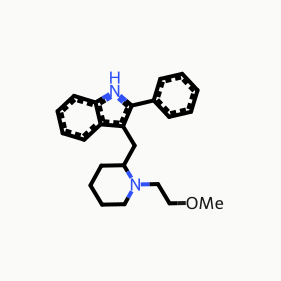 COCCN1CCCCC1Cc1c(-c2ccccc2)[nH]c2ccccc12